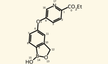 CCOC(=O)c1ccc(Oc2ccc3c(c2)COB3O)cn1